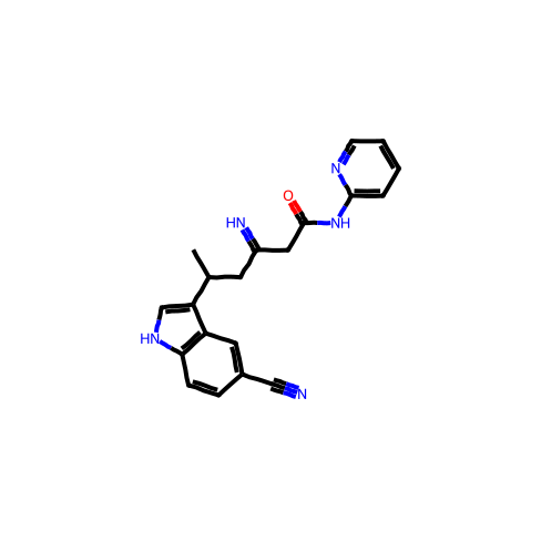 CC(CC(=N)CC(=O)Nc1ccccn1)c1c[nH]c2ccc(C#N)cc12